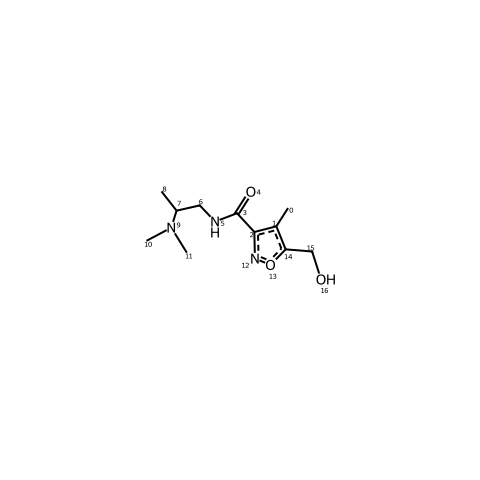 Cc1c(C(=O)NCC(C)N(C)C)noc1CO